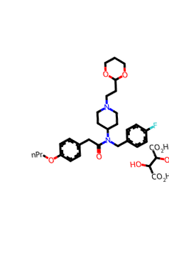 CCCOc1ccc(CC(=O)N(Cc2ccc(F)cc2)C2CCN(CCC3OCCCO3)CC2)cc1.O=C(O)C(O)C(O)C(=O)O